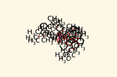 CCC(C)(C)C1=C(c2ccccc2C(C)(C)CC)C(c2ccccc2C(C)(C)CC)(C(C)(C)CC)C(OP(OC2C=CC(C(C)(C)CC)=C(c3ccccc3C(C)(C)CC)C2(c2ccccc2C(C)(C)CC)C(C)(C)CC)OC2C=CC(C(C)(C)CC)=C(c3ccccc3C(C)(C)CC)C2(c2ccccc2C(C)(C)CC)C(C)(C)CC)C=C1